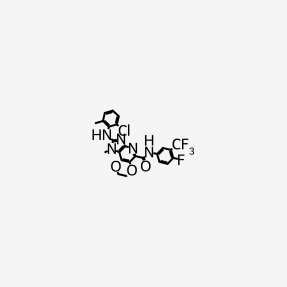 Cc1cccc(Cl)c1Nc1nc2nc(C(=O)Nc3ccc(F)c(C(F)(F)F)c3)c3c(c2n1C)OCCO3